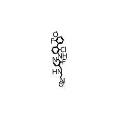 COc1cccc(-c2cccc(Nc3nccc(CNCCN=O)c3F)c2Cl)c1F